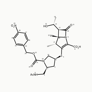 CC(=O)NC[C@@H]1C[C@H](SC2=C(C(=O)O)N3C(=O)[C@H]([C@@H](C)O)[C@H]3[C@H]2C)CN1C(=O)OCc1ccc([N+](=O)[O-])cc1